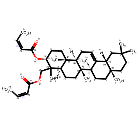 CC1(C)CC[C@]2(C(=O)O)CC[C@]3(C)C(=CC[C@@H]4[C@@]5(C)CC[C@H](OC(=O)/C=C\C(=O)O)C(C)(COC(=O)/C=C\C(=O)O)[C@@H]5CC[C@]43C)[C@@H]2C1